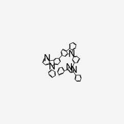 c1ccc(-c2cc(-c3ccccc3)nc(-c3cccc(-n4c5ccccc5c5ccc(-c6ccc7c(c6)c6ncccc6n7-c6ccccc6)cc54)c3)n2)cc1